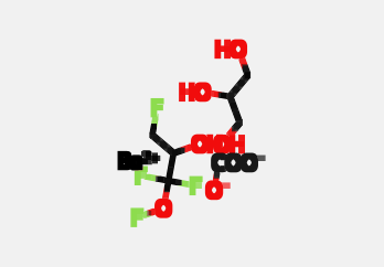 O=C([O-])[O-].OC(CF)C(F)(F)OF.OCC(O)CO.[Ba+2]